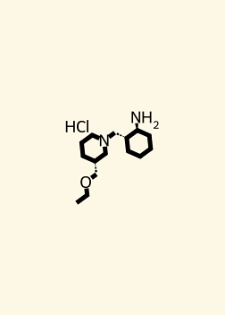 CCOC[C@@H]1CCCN(C[C@H]2CCCC[C@@H]2N)C1.Cl